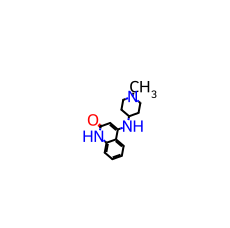 CN1CCC(Nc2cc(=O)[nH]c3ccccc23)CC1